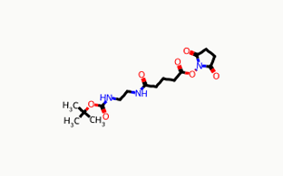 CC(C)(C)OC(=O)NCCNC(=O)CCCC(=O)ON1C(=O)CCC1=O